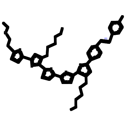 CCCCCCc1cc(-c2ccc(/C=C/c3ccc(C)cc3)cc2)sc1-c1ccc(-c2ccc(-c3sc(-c4ccc(CCOCC)s4)cc3CCCCCC)s2)s1